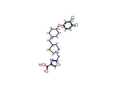 O=C(O)c1coc(CN2CCC(CN3CCC(Oc4ccc(Cl)c(Cl)c4)CC3)CC2)n1